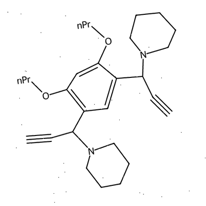 C#CC(c1cc(C(C#C)N2CCCCC2)c(OCCC)cc1OCCC)N1CCCCC1